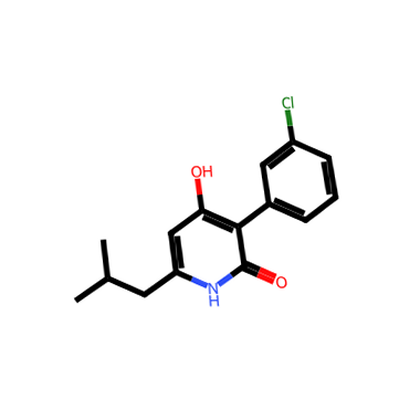 CC(C)Cc1cc(O)c(-c2cccc(Cl)c2)c(=O)[nH]1